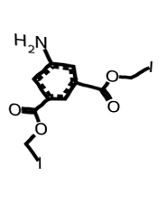 Nc1cc(C(=O)OCI)cc(C(=O)OCI)c1